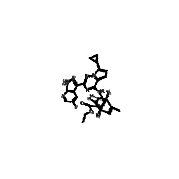 CCOC(=O)[C@H]1[C@H]2CC[C@H](C(C)C2)[C@@H]1Nc1nc(-c2n[nH]c3ncc(F)cc23)nn2c(C3CC3)ccc12